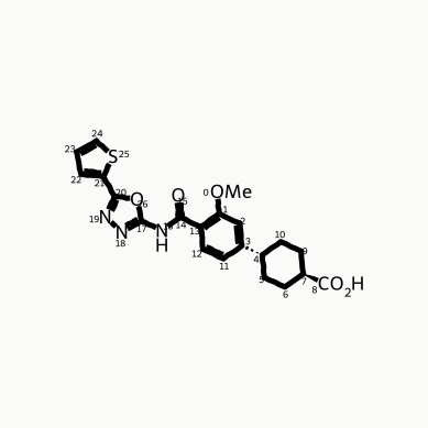 COc1cc([C@H]2CC[C@H](C(=O)O)CC2)ccc1C(=O)Nc1nnc(-c2cccs2)o1